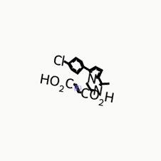 CC1=NCCn2c1ccc2-c1ccc(Cl)cc1.O=C(O)/C=C/C(=O)O